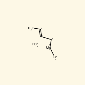 Br.CC=C[CH2][Mg][Br]